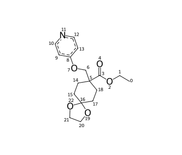 CCOC(=O)C1(COc2ccncc2)CCC2(CC1)OCCO2